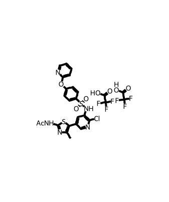 CC(=O)Nc1nc(C)c(-c2cnc(Cl)c(NS(=O)(=O)c3ccc(Oc4ccccn4)cc3)c2)s1.O=C(O)C(F)(F)F.O=C(O)C(F)(F)F